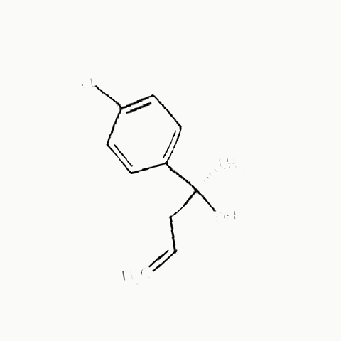 C=CC[C@](C)(O)c1ccc(Cl)cc1